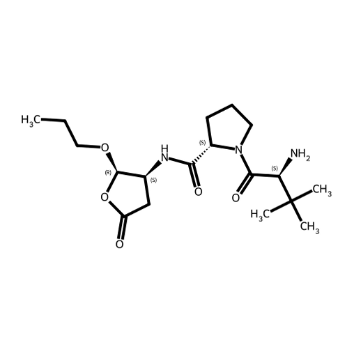 CCCO[C@@H]1OC(=O)C[C@@H]1NC(=O)[C@@H]1CCCN1C(=O)[C@@H](N)C(C)(C)C